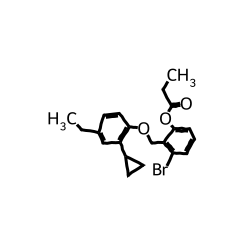 CCC(=O)Oc1cccc(Br)c1COc1ccc(CC)cc1C1CC1